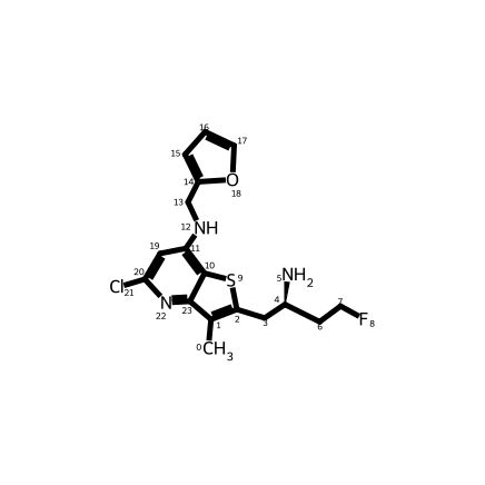 Cc1c(C[C@@H](N)CCF)sc2c(NCc3ccco3)cc(Cl)nc12